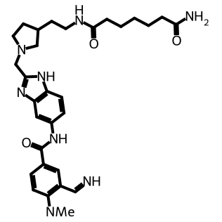 CNc1ccc(C(=O)Nc2ccc3[nH]c(CN4CCC(CCNC(=O)CCCCCC(N)=O)C4)nc3c2)cc1C=N